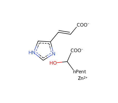 CCCCCC(O)C(=O)[O-].O=C([O-])C=Cc1c[nH]cn1.[Zn+2]